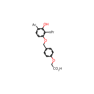 CCCc1c(OCc2ccc(OCC(=O)O)cc2)ccc(C(C)=O)c1O